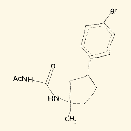 CC(=O)NC(=O)NC1(C)CC[C@@H](c2ccc(Br)cc2)C1